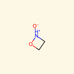 [O-][NH+]1CCO1